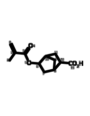 C=C(C)C(=O)OC1CC2CC1CC2C(=O)O